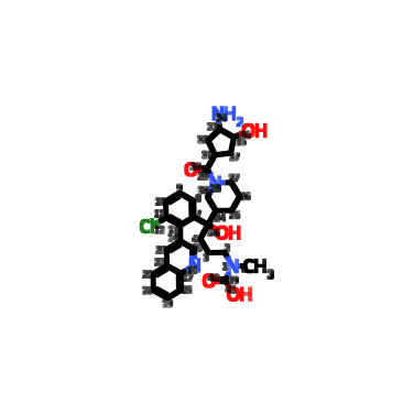 CN(CCCC(O)(c1cccc(Cl)c1-c1cnc2ccccc2c1)C1CCCN(C(=O)C2CC(N)C(O)C2)C1)C(=O)O